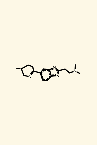 C[C@H]1CCC(c2ccc3sc(CCN(C)C)nc3c2)=NC1